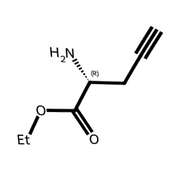 C#CC[C@@H](N)C(=O)OCC